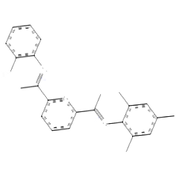 C/C(=N\c1ccccc1C(C)C)c1cccc(/C(C)=N/c2c(C)cc(C)cc2C)n1